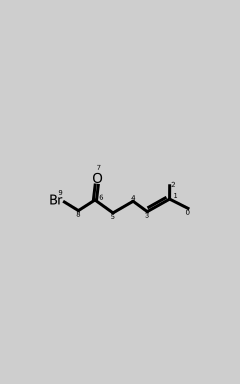 CC(C)=CCCC(=O)CBr